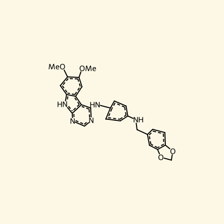 COc1cc2[nH]c3ncnc(Nc4ccc(NCc5ccc6c(c5)OCO6)cc4)c3c2cc1OC